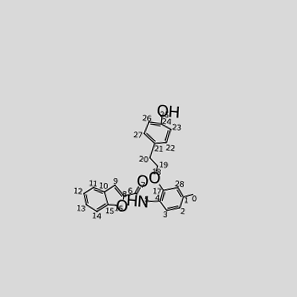 Cc1ccc(NC(=O)c2cc3ccccc3o2)c(OCCc2ccc(O)cc2)c1